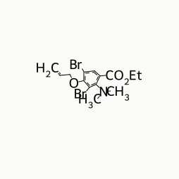 C=CCOc1c(Br)cc(C(=O)OCC)c(N(C)C)c1Br